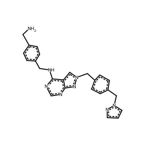 NCc1ccc(CNc2ncnc3nn(Cc4ccc(Cn5cccn5)cc4)cc23)cc1